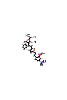 CCN(CC)c1ccc(/C=C/c2ccc(/C=C/C3=C(C#N)C(=C(C#N)C#N)OC3(C)c3ccccc3)s2)c(OC(C)C)c1